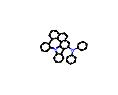 c1ccc(N(c2ccccc2)c2cc3ccc4cccc5c6ccccc6n6c7ccccc7c2c6c3c45)cc1